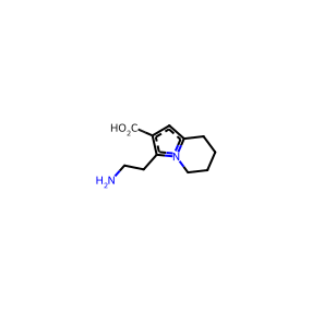 NCCc1c(C(=O)O)cc2n1CCCC2